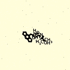 CC(C)(O)c1cnc(S(=N)(=O)NC(=O)Cc2c3c(cc4c2CCC4)CCC3)s1